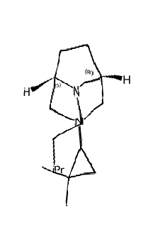 CC(C)CCN1[C@@H]2CC[C@H]1CN(C1CC1(C)C)C2